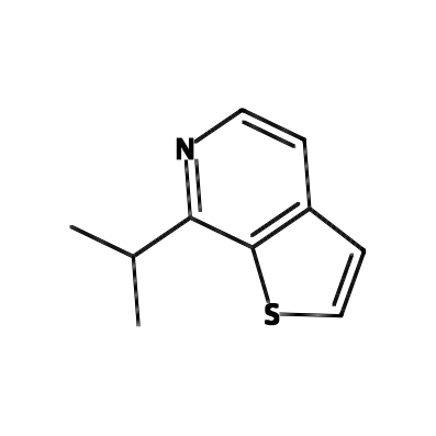 CC(C)c1nccc2ccsc12